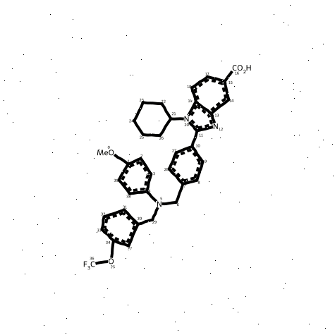 COc1ccc(N(Cc2ccc(-c3nc4cc(C(=O)O)ccc4n3C3CCCCC3)cc2)Cc2cccc(OC(F)(F)F)c2)cc1